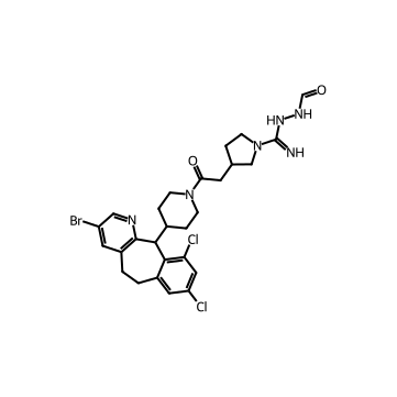 N=C(NNC=O)N1CCC(CC(=O)N2CCC(C3c4ncc(Br)cc4CCc4cc(Cl)cc(Cl)c43)CC2)C1